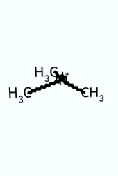 CCCCCCCCCCCCCCc1n(CCCCCCCCCC)cc[n+]1CCC